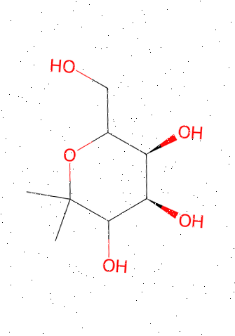 CC1(C)OC(CO)[C@@H](O)[C@@H](O)C1O